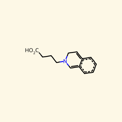 O=C(O)CCCN1C=c2ccccc2=CC1